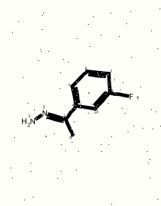 C/C(=N\N)c1cccc(F)c1